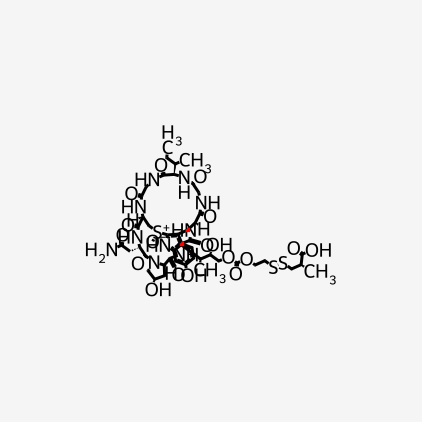 CCC(C)[C@H]1NC(=O)CNC(=O)[C@H]2Cc3c([nH]c4cc(O)ccc34)[S+]([O-])C[C@@H](NC(=O)CNC1=O)C(=O)N[C@@H](CC(N)=O)C(=O)N1C[C@H](O)C[C@H]1C(=O)N[C@@H]([C@H](C)[C@@H](O)COC(=O)OCCSSC[C@H](C)C(=O)O)C(=O)N2